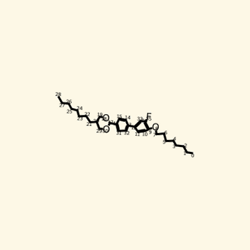 CCCCCCCCOc1ccc(-c2ccc(C3OCC(CCCCCCCC)CO3)cc2)cc1F